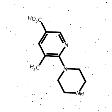 Cc1cc(C(=O)O)cnc1N1CCNCC1